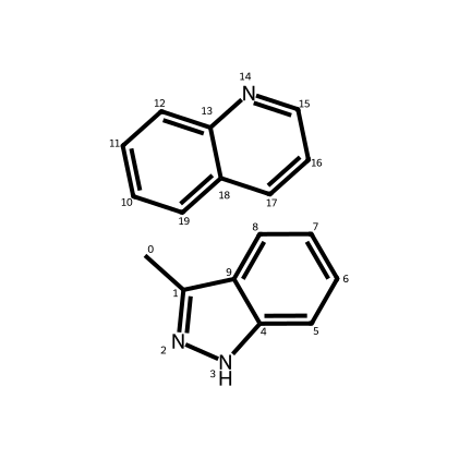 Cc1n[nH]c2ccccc12.c1ccc2ncccc2c1